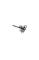 CCCCCCCCCC(=O)CC(=O)Nc1cc(Cl)ccc1O